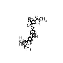 CNC(=O)c1cc(COc2cnc(Nc3ccc(N4C=C(C)N[C@@H](C)C4)c(F)c3)nc2)c(Cl)c(OC)c1